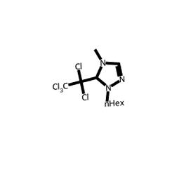 CCCCCCN1N=CN(C)C1C(Cl)(Cl)C(Cl)(Cl)Cl